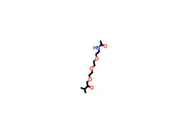 CC(=O)NCCOCCOCCOCC(=O)C(C)C